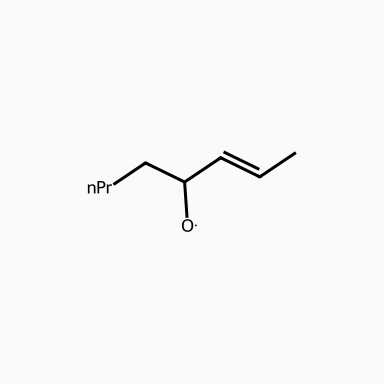 CC=CC([O])CCCC